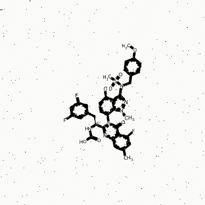 COc1ccc(CN(c2nn(C)c3c(-n4c([C@H](Cc5cc(F)cc(F)c5)NC(=O)O)nc5cc(C)cc(F)c5c4=O)ccc(Cl)c23)S(C)(=O)=O)cc1